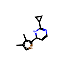 Cc1csc(C2C=CN=C(C3CC3)N2)c1C